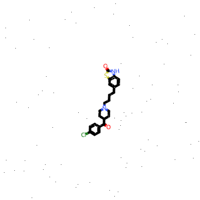 O=C(c1ccc(Cl)cc1)C1CCN(CCCCc2ccc3[nH]c(=O)sc3c2)CC1